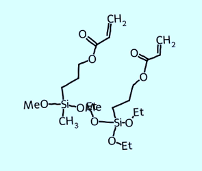 C=CC(=O)OCCC[Si](C)(OC)OC.C=CC(=O)OCCC[Si](OCC)(OCC)OCC